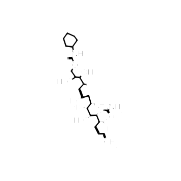 C=C/C=C\[C@H](C)[C@H](OC(N)=O)[C@@H](C)[C@H](O)[C@@H](C)C/C(C)=C\C(C)C(O)C(C)COC(=O)NC1CCCCC1